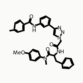 COc1ccc(N(C)C(=O)C(Cc2ccccc2)NC(=O)Cn2cc(-c3cccc(NC(=O)c4ccc(C)cc4)c3)nn2)cc1